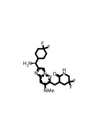 CNc1cc2nc([C@@H](N)C3CCC(F)(F)CC3)cn2nc1CC1CC(F)(F)CNC1=O